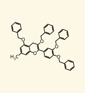 Cc1cc(OCc2ccccc2)c2c(c1)OC(c1ccc(OCc3ccccc3)c(OCc3ccccc3)c1)=C(OCc1ccccc1)C2